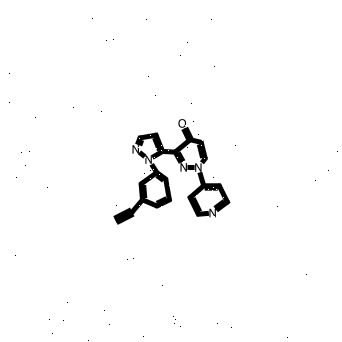 C#Cc1cccc(-n2nccc2-c2nn(-c3ccncc3)ccc2=O)c1